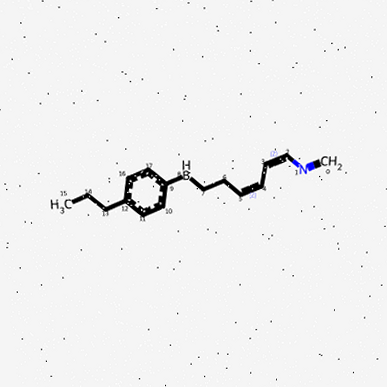 C=N/C=C\C=C/CCBc1ccc(CCC)cc1